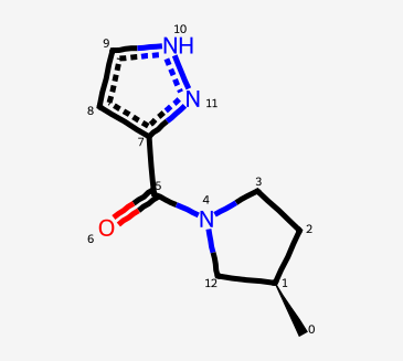 C[C@@H]1CCN(C(=O)c2cc[nH]n2)C1